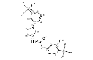 O=C(Cc1ccc(C(F)(F)F)c(F)c1)N[C@@H]1CCN(c2cncc(C(F)(F)F)c2)C1